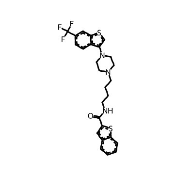 O=C(NCCCCN1CCN(c2csc3cc(C(F)(F)F)ccc23)CC1)c1cc2ccccc2s1